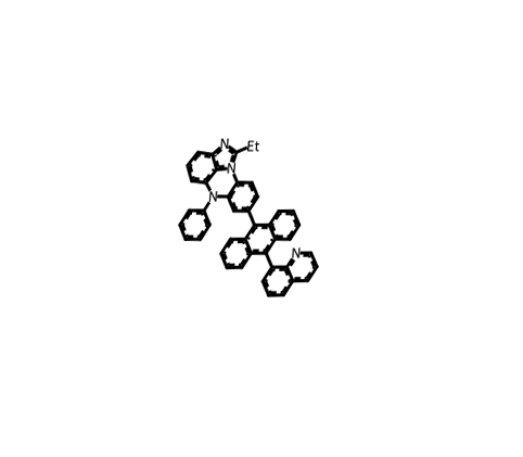 CCc1nc2cccc3c2n1-c1ccc(-c2c4ccccc4c(-c4cccc5cccnc45)c4ccccc24)cc1N3c1ccccc1